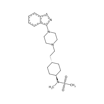 CN([C@H]1CC[C@H](CCN2CCN(c3nsc4ccccc34)CC2)CC1)S(C)(=O)=O